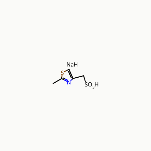 Cc1nc(CS(=O)(=O)O)cs1.[NaH]